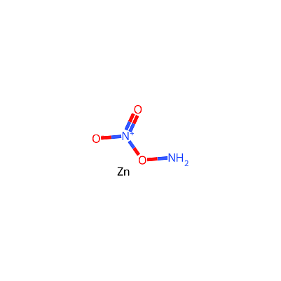 NO[N+](=O)[O-].[Zn]